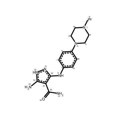 CC(C)N1CCN(c2ccc(Nc3n[nH]c(N)c3C(N)=O)cc2)CC1